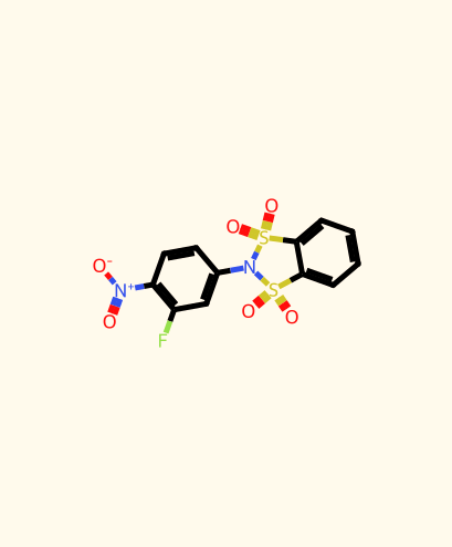 O=[N+]([O-])c1ccc(N2S(=O)(=O)c3ccccc3S2(=O)=O)cc1F